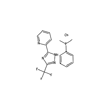 CP(C)c1ccccc1.FC(F)(F)c1n[nH]c(-c2ccccn2)n1.[Os]